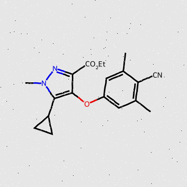 CCOC(=O)c1nn(C)c(C2CC2)c1Oc1cc(C)c(C#N)c(C)c1